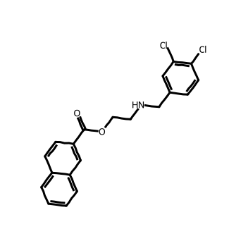 O=C(OCCNCc1ccc(Cl)c(Cl)c1)c1ccc2ccccc2c1